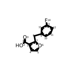 O=C(O)c1ccoc1Cc1cccc(F)c1